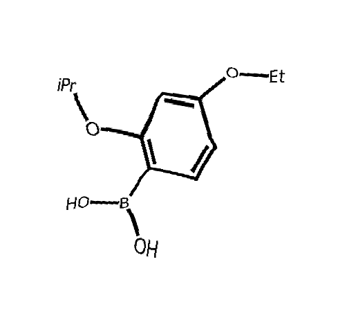 CCOc1ccc(B(O)O)c(OC(C)C)c1